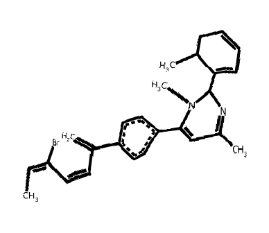 C=C(/C=C\C(Br)=C/C)c1ccc(C2=CC(C)=NC(C3=CC=CCC3C)N2C)cc1